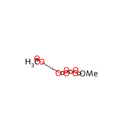 COc1ccc(OC(=O)c2ccc(C(=O)Oc3ccc(OCCCCCCCCCCCCOCCC4(C)CO4)cc3)cc2)cc1